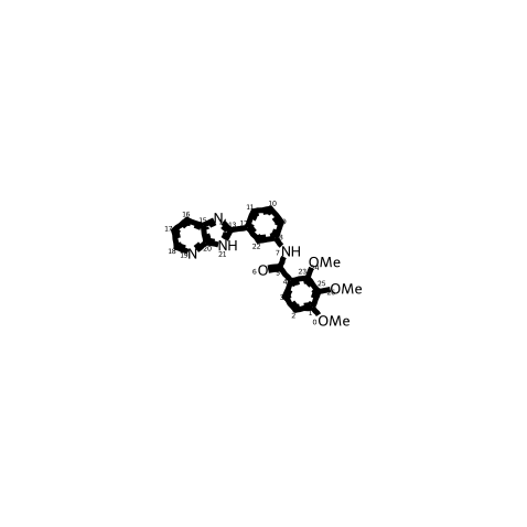 COc1ccc(C(=O)Nc2cccc(-c3nc4cccnc4[nH]3)c2)c(OC)c1OC